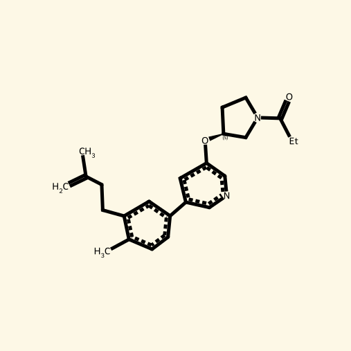 C=C(C)CCc1cc(-c2cncc(O[C@H]3CCN(C(=O)CC)C3)c2)ccc1C